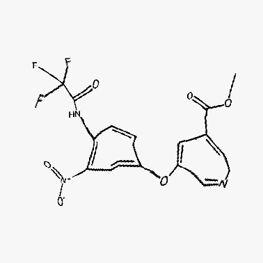 COC(=O)c1cncc(Oc2ccc(NC(=O)C(F)(F)F)c([N+](=O)[O-])c2)c1